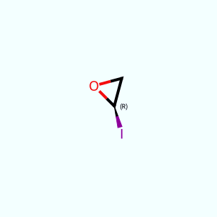 I[C@@H]1CO1